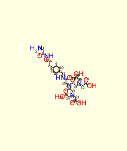 NCC(=O)NOCCc1ccc(CNC(=O)CN(CCN(CC(=O)O)CC(=O)O)CCN(CC(=O)O)CC(=O)O)cc1